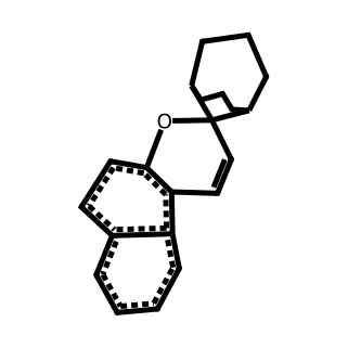 C1=CC2(Oc3ccc4ccccc4c31)C1CCCC2CCC1